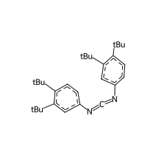 CC(C)(C)c1ccc(N=C=Nc2ccc(C(C)(C)C)c(C(C)(C)C)c2)cc1C(C)(C)C